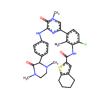 Cc1c(-c2cn(C)c(=O)c(Nc3ccc(C4C(=O)N(C)CCN4C)cc3)n2)ccc(F)c1NC(=O)c1cc2c(s1)CCCC2